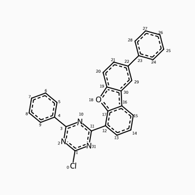 Clc1nc(-c2ccccc2)nc(-c2cccc3c2oc2ccc(-c4ccccc4)cc23)n1